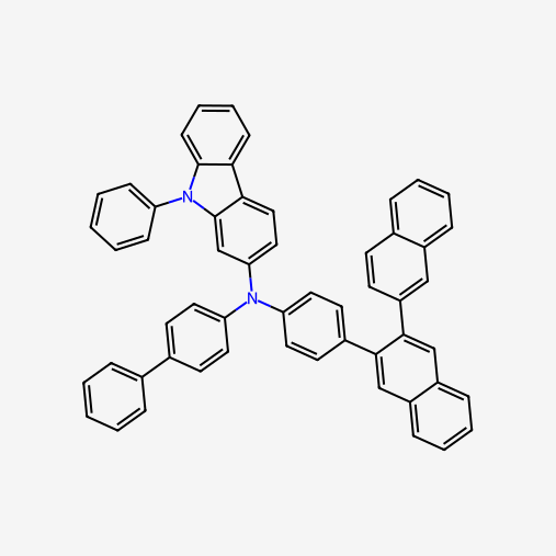 c1ccc(-c2ccc(N(c3ccc(-c4cc5ccccc5cc4-c4ccc5ccccc5c4)cc3)c3ccc4c5ccccc5n(-c5ccccc5)c4c3)cc2)cc1